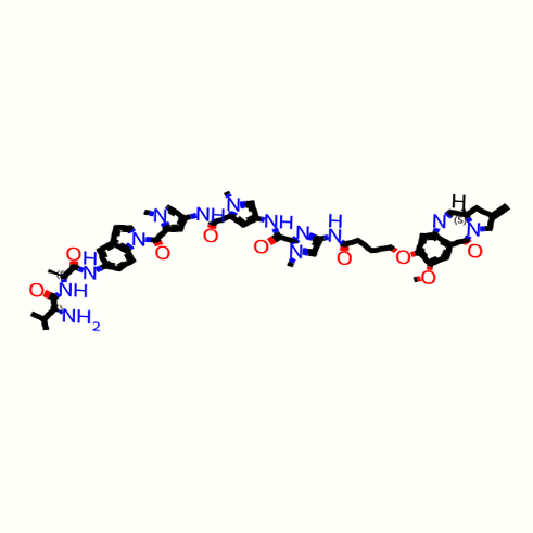 C=C1C[C@H]2C=Nc3cc(OCCCC(=O)Nc4cn(C)c(C(=O)Nc5cc(C(=O)Nc6cc(C(=O)n7ccc8cc(NC(=O)[C@H](C)NC(=O)[C@@H](N)C(C)C)ccc87)n(C)c6)n(C)c5)n4)c(OC)cc3C(=O)N2C1